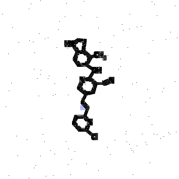 Cc1c(Nc2ncc(/C=C/c3cccc(Cl)n3)cc2C#N)ccc2[nH]ccc12